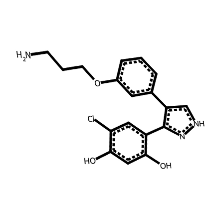 NCCCOc1cccc(-c2c[nH]nc2-c2cc(Cl)c(O)cc2O)c1